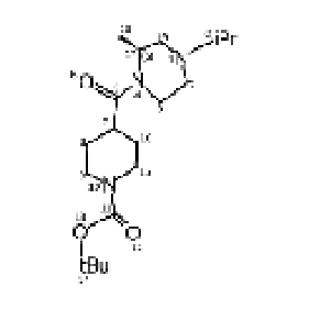 CC(C)N1CCN(C(=O)C2CCN(C(=O)OC(C)(C)C)CC2)[C@@H](C)C1